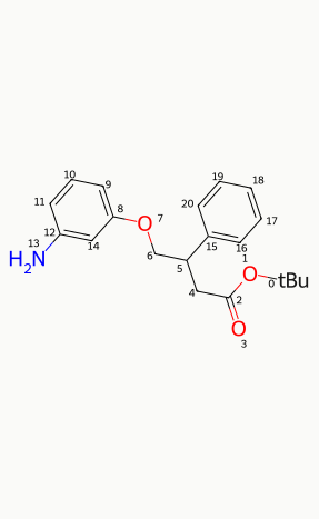 CC(C)(C)OC(=O)CC(COc1cccc(N)c1)c1ccccc1